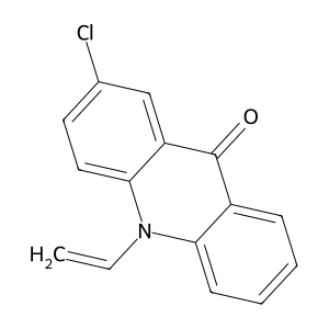 C=Cn1c2ccccc2c(=O)c2cc(Cl)ccc21